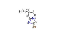 O=C(O)C1CCn2cc(Br)nc2C1